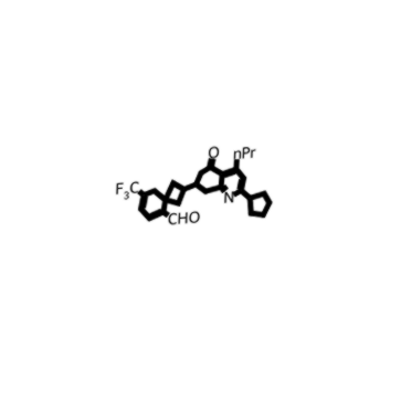 CCCc1cc(C2CCCC2)nc2c1C(=O)CC(C1CC3(CC(C(F)(F)F)=CC=C3C=O)C1)C2